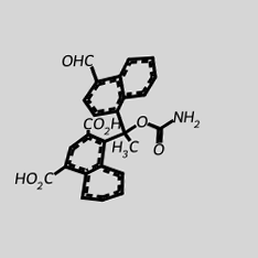 CC(OC(N)=O)(c1ccc(C=O)c2ccccc12)c1c(C(=O)O)cc(C(=O)O)c2ccccc12